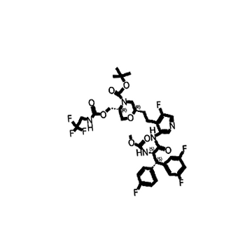 COC(=O)N[C@H](C(=O)Nc1cncc(F)c1CC[C@@H]1CN(C(=O)OC(C)(C)C)[C@@H](COC(=O)NCC(F)(F)F)CO1)[C@@H](c1ccc(F)cc1)c1cc(F)cc(F)c1